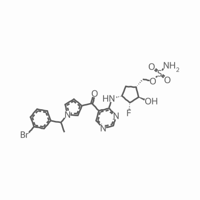 CC(c1cccc(Br)c1)n1ccc(C(=O)c2cncnc2N[C@@H]2C[C@H](COS(N)(=O)=O)[C@@H](O)[C@@H]2F)c1